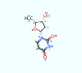 C[C@H]1O[C@@H](n2ccc(=O)[nH]c2=O)C[C@H]1O